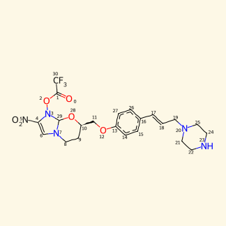 O=C(ON1C([N+](=O)[O-])=CN2CC[C@H](COc3ccc(C=CCN4CCNCC4)cc3)OC21)C(F)(F)F